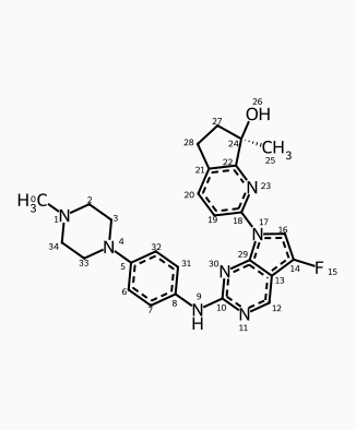 CN1CCN(c2ccc(Nc3ncc4c(F)cn(-c5ccc6c(n5)[C@](C)(O)CC6)c4n3)cc2)CC1